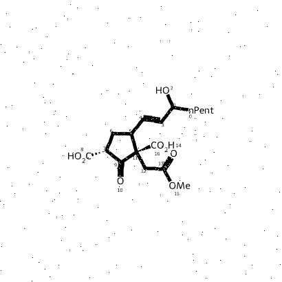 CCCCCC(O)C=CC1C[C@@H](C(=O)O)C(=O)[C@]1(CC(=O)OC)C(=O)O